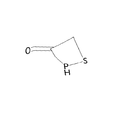 O=C1CSP1